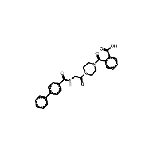 O=C(NCC(=O)N1CCN(C(=O)c2ccccc2C(=O)O)CC1)c1ccc(-c2ccccc2)cc1